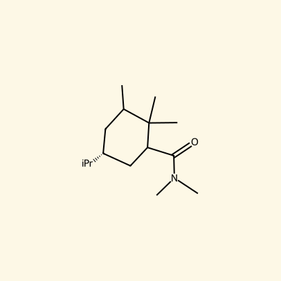 CC(C)[C@@H]1CC(C)C(C)(C)C(C(=O)N(C)C)C1